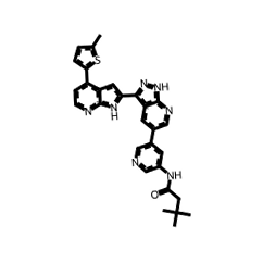 Cc1ccc(-c2ccnc3[nH]c(-c4n[nH]c5ncc(-c6cncc(NC(=O)CC(C)(C)C)c6)cc45)cc23)s1